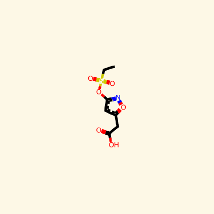 CCS(=O)(=O)Oc1cc(CC(=O)O)on1